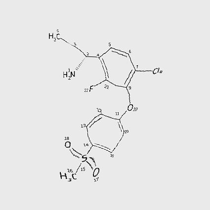 CC[C@@H](N)c1ccc(Cl)c(Oc2ccc(S(C)(=O)=O)cc2)c1F